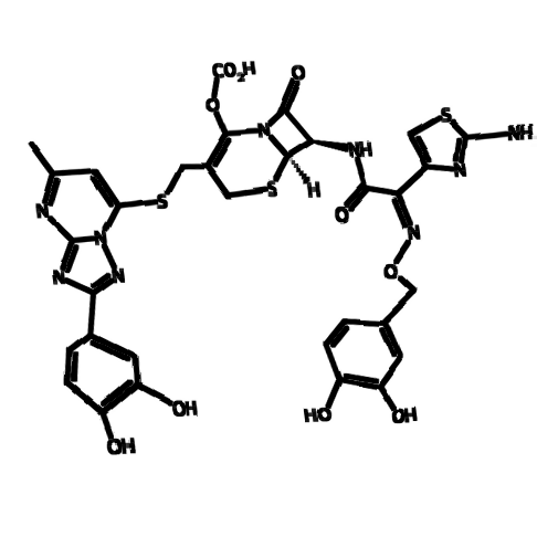 Cc1cc(SCC2=C(OC(=O)O)N3C(=O)[C@@H](NC(=O)/C(=N\OCc4ccc(O)c(O)c4)c4csc(N)n4)[C@H]3SC2)n2nc(-c3ccc(O)c(O)c3)nc2n1